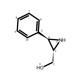 OC[C@H]1N[C@@H]1c1ccccc1